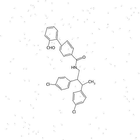 CC(c1ccc(Cl)cc1)C(CNC(=O)c1ccc(-c2ccccc2C=O)cc1)c1ccc(Cl)cc1